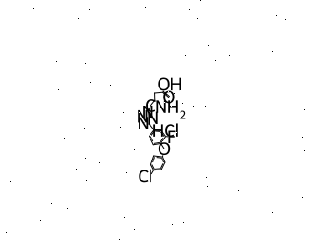 Cl.N[C@@H](CC(=O)O)Cn1nnc(-c2ccc(Oc3ccc(Cl)cc3)c(F)c2)n1